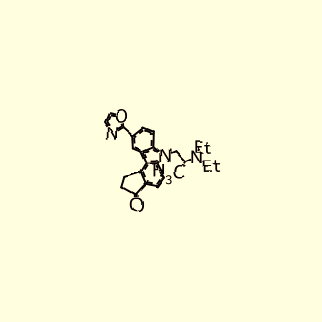 CCN(CC)C(C)Cn1c2ccc(-c3ncco3)cc2c2c3c(ccc21)C(=O)CC3